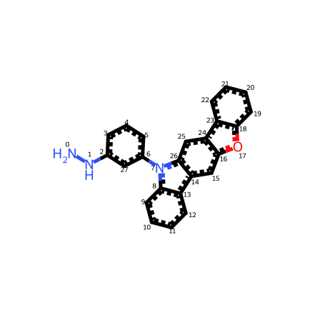 NNc1cccc(-n2c3ccccc3c3cc4oc5ccccc5c4cc32)c1